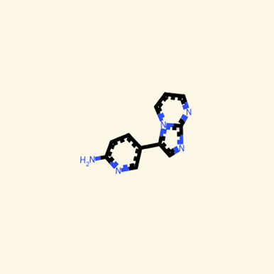 Nc1ccc(-c2cnc3ncccn23)cn1